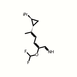 C/C(=C\C=C(/C=N)OC(F)F)[C@H]1C[C@@H]1C(C)C